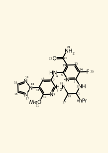 CCCC(Nc1nc(Nc2cnc(OC)c(-n3nccn3)c2)c(C(N)=O)cc1F)C(C)N